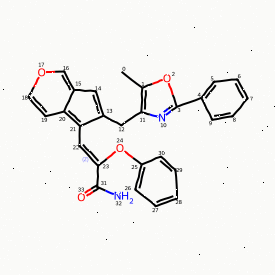 Cc1oc(-c2ccccc2)nc1Cc1cc2coccc-2c1/C=C(\Oc1ccccc1)C(N)=O